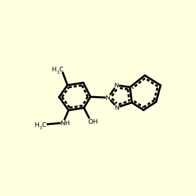 CNc1cc(C)cc(-n2nc3ccccc3n2)c1O